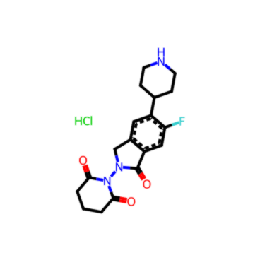 Cl.O=C1c2cc(F)c(C3CCNCC3)cc2CN1N1C(=O)CCCC1=O